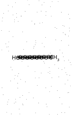 COCCOCCOCCOCCOCCOCCOCCOCCOCCOCCOCCOCCOCCOCCO